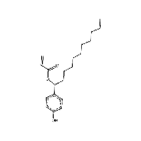 C=CC(=O)OC(CCCCCCCCCC)c1ccc(O)cc1